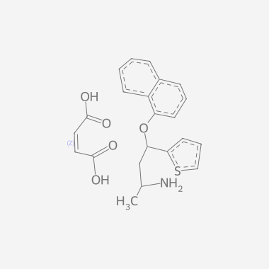 CC(N)CC(Oc1cccc2ccccc12)c1cccs1.O=C(O)/C=C\C(=O)O